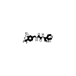 Cc1cc(CNC(=O)C(=O)Nc2c[nH]c3cnccc23)ccc1C(F)(F)F